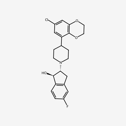 O[C@@H]1c2ccc(F)cc2C[C@H]1N1CCC(c2cc(Cl)cc3c2OCCO3)CC1